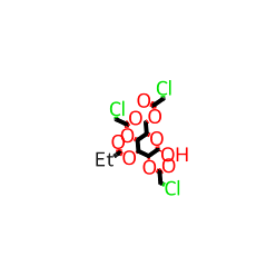 CCC(=O)O[C@H]1C(OC(=O)CCl)C(COC(=O)CCl)O[C@H](O)[C@H]1OC(=O)CCl